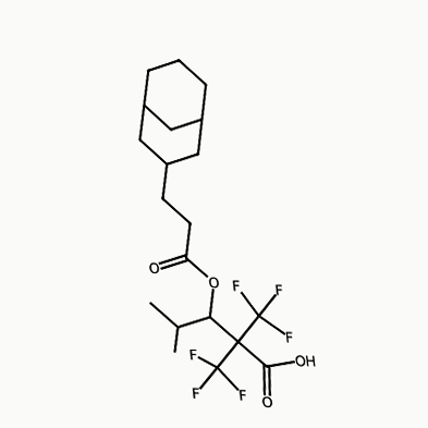 CC(C)C(OC(=O)CCC1CC2CCCC(C2)C1)C(C(=O)O)(C(F)(F)F)C(F)(F)F